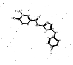 CN1N=C(C(=O)Nc2ncc(Cc3ccc(F)cc3)s2)CCC1=O